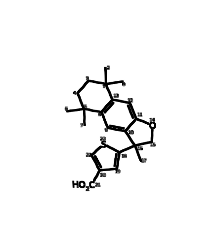 CC1(C)CCC(C)(C)c2cc3c(cc21)OCC3(C)c1cc(C(=O)O)cs1